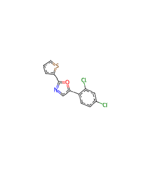 Clc1ccc(-c2cnc(-c3cccs3)o2)c(Cl)c1